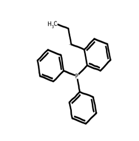 CC[CH]c1ccccc1P(c1ccccc1)c1ccccc1